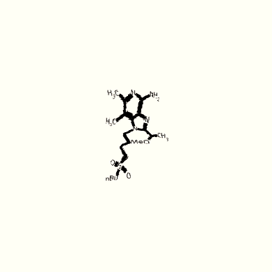 CCCCS(=O)(=O)CCCCn1c(C(C)OC)nc2c(N)nc(C)c(C)c21